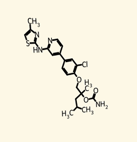 Cc1csc(Nc2cc(-c3ccc(OCC(C)(CC(C)C)OC(N)=O)c(Cl)c3)ccn2)n1